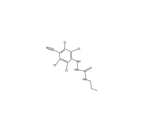 CCCNC(=O)NNc1c(Cl)c(Cl)c(C#N)c(Cl)c1Cl